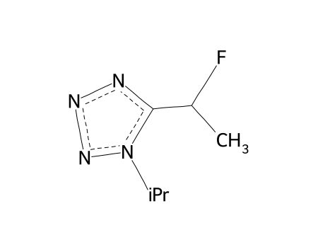 CC(F)c1nnnn1C(C)C